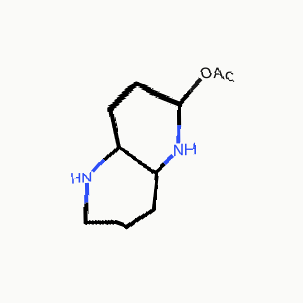 CC(=O)OC1CCC2NCCCC2N1